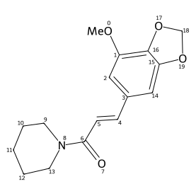 COc1cc(/C=C/C(=O)N2CCCCC2)cc2c1OCO2